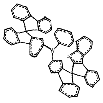 c1ccc(N(c2ccc3c(c2)C2(c4ccccc4-c4ccccc42)c2ccccc2-3)c2ccc3c(c2)C2(c4ccccc4-3)c3ccccc3-c3c2sc2ccccc32)cc1